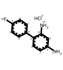 Cl.Nc1ccc(-c2ccc(F)cc2)c(N)c1